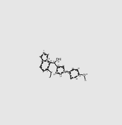 CCc1ccc2cncn2c1C(O)c1cn(-c2ccc(OC)cc2)nn1